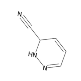 N#CC1C=CC=NN1